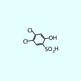 O=S(=O)(O)c1cc(Cl)c(Cl)cc1O